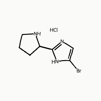 Brc1cnc(C2CCCN2)[nH]1.Cl